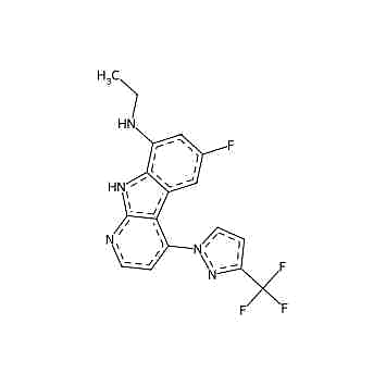 CCNc1cc(F)cc2c1[nH]c1nccc(-n3ccc(C(F)(F)F)n3)c12